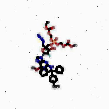 CCOc1nc(NC(c2ccccc2)(c2ccccc2)c2ccc(OC)cc2)nc2c1ncn2[C@@H]1O[C@](CN=[N+]=[N-])(COP(=O)(OCOC(=O)OC(C)C)OCOC(=O)OC(C)C)[C@@H](O)[C@H]1F